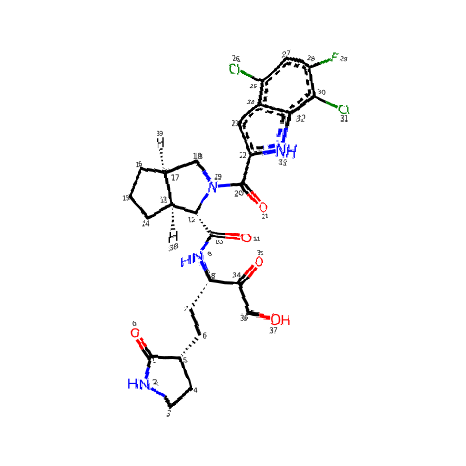 O=C1NCC[C@H]1CC[C@H](NC(=O)[C@@H]1[C@H]2CCC[C@H]2CN1C(=O)c1cc2c(Cl)cc(F)c(Cl)c2[nH]1)C(=O)CO